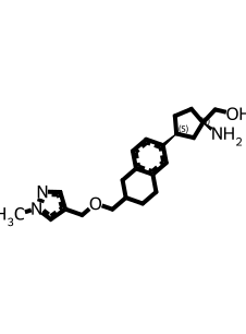 Cn1cc(COCC2CCc3cc([C@H]4CC[C@](N)(CO)C4)ccc3C2)cn1